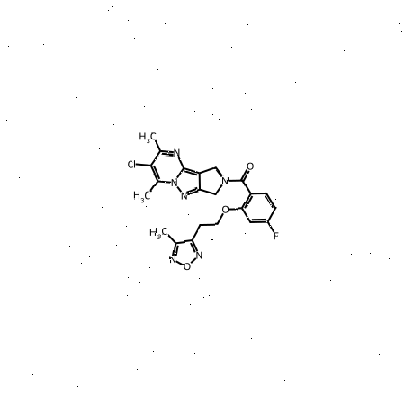 Cc1nonc1CCOc1cc(F)ccc1C(=O)N1Cc2nn3c(C)c(Cl)c(C)nc3c2C1